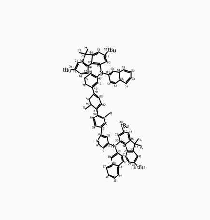 Cc1cc(-c2cccc(N(c3ccc4ccccc4c3)c3cc(C(C)(C)C)cc4c3-c3ccc(C(C)(C)C)cc3C4(C)C)c2)ccc1C1=CC=C(C2=CC(N(C3=CC4C=CC=CC4C=C3)c3cc(C(C)(C)C)cc4c3-c3ccc(C(C)(C)C)cc3C4(C)C)=CCC2)CC1C